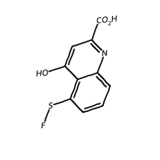 O=C(O)c1cc(O)c2c(SF)cccc2n1